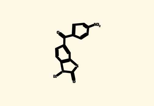 CCn1c(=O)sc2cc(C(=O)c3ccc([N+](=O)[O-])cc3)ccc21